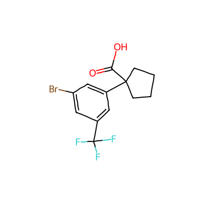 O=C(O)C1(c2cc(Br)cc(C(F)(F)F)c2)CCCC1